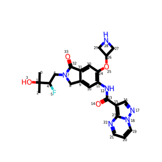 CC(C)(O)C(F)CN1Cc2cc(NC(=O)c3cnn4cccnc34)c(OC3CNC3)cc2C1=O